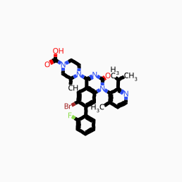 Cc1ccnc(C(C)C)c1-n1c(=O)nc(N2CCN(C(=O)O)CC2C)c2cc(Br)c(-c3ccccc3F)cc21